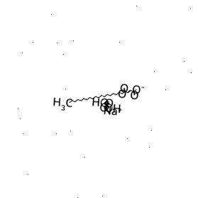 CCCCCCCCCCCCCCCCCCOC(=O)C=CC(=O)[O-].O=S(=O)(O)O.[Na+]